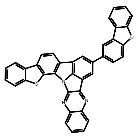 c1ccc2nc3c(nc2c1)c1cc(-c2ccc4oc5ccccc5c4c2)cc2c4ccc5c6ccccc6sc5c4n3c21